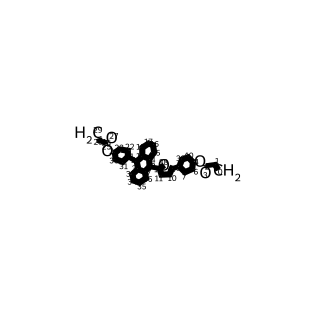 C=CC(=O)Oc1ccc(-c2ccc(-c3c4ccccc4c(-c4ccc(OC(=O)C=C)cc4)c4ccccc34)o2)cc1